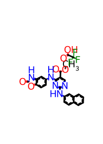 COC(=O)c1cnc(Nc2ccc3ccccc3c2)nc1Nc1ccc2oc(=O)[nH]c2c1.O=C(O)C(F)(F)F